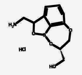 Cl.NCC1OB2O[C@@H](CO)COc3cccc1c32